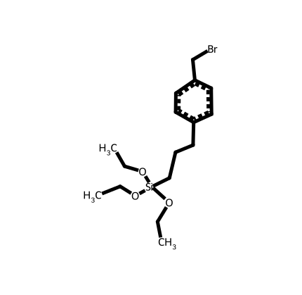 CCO[Si](CCCc1ccc(CBr)cc1)(OCC)OCC